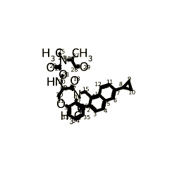 COc1ccc2cc(C3CC3)ccc2c1CN1C(=O)[C@@H](NOC(=O)N(C)[C@@H](C)C=O)COc2ccccc21